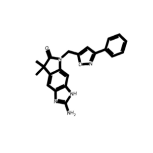 CC1(C)C(=O)N(Cc2cc(-c3ccccc3)no2)c2cc3[nH]c(N)nc3cc21